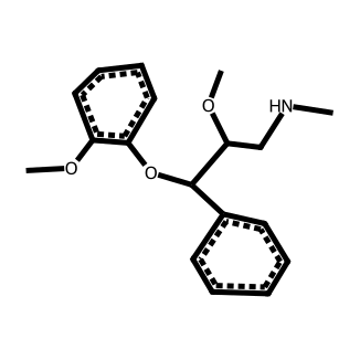 CNCC(OC)C(Oc1ccccc1OC)c1ccccc1